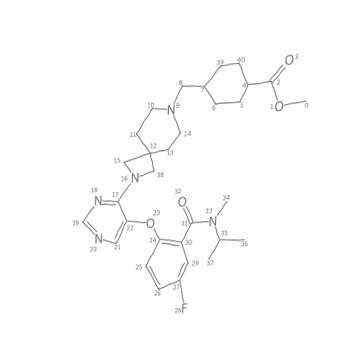 COC(=O)C1CCC(CN2CCC3(CC2)CN(c2ncncc2Oc2ccc(F)cc2C(=O)N(C)C(C)C)C3)CC1